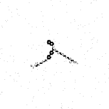 C=CC(=O)OCCOCCOCCOCCOC(COc1ccc2ccccc2c1)c1ccc(-c2ccc(OCCOCCOC(=O)C=C)cc2)cc1